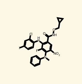 CN(c1ccccc1)c1c([N+](=O)[O-])cc(C(=O)NOCC2CC2)c(Nc2ccc(I)cc2Cl)c1F